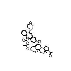 CC(=O)C1CCC2C3CC=C4CC(OC(C)OC(=O)N5c6ccc(Cl)cc6N=C(N6CCN(C)CC6)c6ccccc65)CCC4(C)C3CCC12C